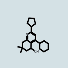 CC1(C)Cc2nc(C3CCCC3)[c]c(C3CCCCC3)c2C(O)C1